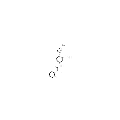 N[S+]([O-])c1cc(NC(=O)C(O)c2ccccc2Cl)ccc1-c1cnn(C(F)F)c1